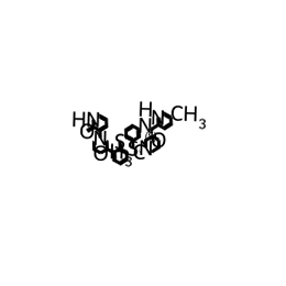 Cc1ccc(C(Nc2ccc3c(c2)Sc2cccc(C4CN(c5ccc[nH]c5=O)CCO4)c2S3)[C@@H]2CN(C)CCO2)nc1